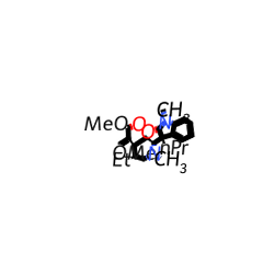 CCC[C@@]1([C@@H]2C[C@H](/C(=C\OC)C(=O)OC)[C@H](CC)CN2C)C(=O)N(C)c2ccccc21